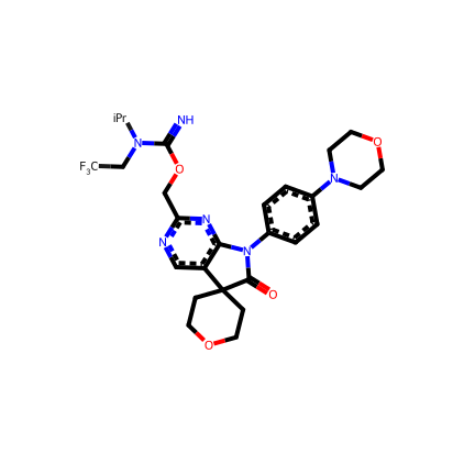 CC(C)N(CC(F)(F)F)C(=N)OCc1ncc2c(n1)N(c1ccc(N3CCOCC3)cc1)C(=O)C21CCOCC1